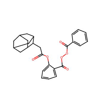 O=C(CC1C2CC3CC(C2)CC1C3)Oc1ccccc1C(=O)OOC(=O)c1ccccc1